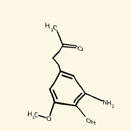 COc1cc(CC(C)=O)cc(N)c1O